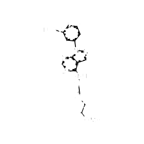 COCCOCCNc1ncnc2c1cnn2-c1cccc(C)c1